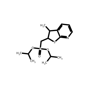 CC(C)OP(=O)(CC1Sc2ncccc2C1C)OC(C)C